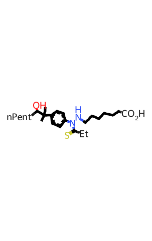 CCCCCC(O)C(C)(C)c1ccc(N(NCCCCCCC(=O)O)C(=S)CC)cc1